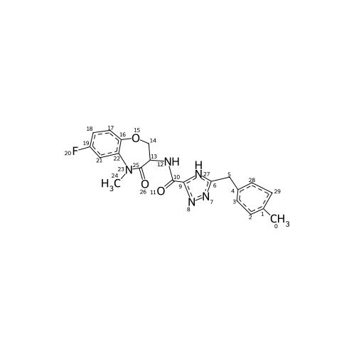 Cc1ccc(Cc2nnc(C(=O)NC3COc4ccc(F)cc4N(C)C3=O)[nH]2)cc1